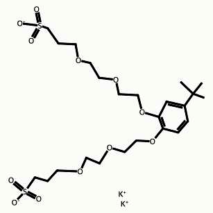 CC(C)(C)c1ccc(OCCOCCOCCCS(=O)(=O)[O-])c(OCCOCCOCCCS(=O)(=O)[O-])c1.[K+].[K+]